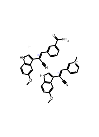 COc1ccc2[nH]cc(/C(C#N)=C/c3ccc[n+](C)c3)c2c1.COc1ccc2[nH]cc(/C(C#N)=C/c3cccc(C(N)=O)c3)c2c1.[I-]